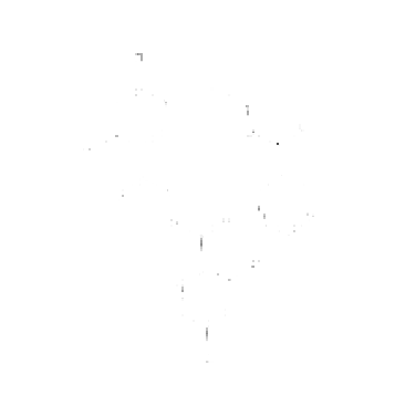 CC(C)(C)OOC(=O)c1ccccc1.O=C(OOC(=O)c1ccc(Cl)cc1Cl)c1ccc(Cl)cc1Cl